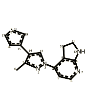 Cc1nn(-c2ccnc3c2CCN3)cc1-c1ccsc1